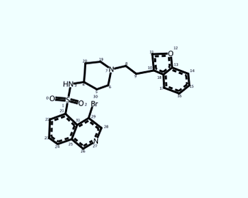 O=S(=O)(NC1CCN(CCc2coc3ccccc23)CC1)c1cccc2cncc(Br)c12